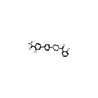 CN(C)C(=O)c1ccc(-c2ccc(N3CCN(C(=O)c4ccccc4Cl)CC3)cc2)cc1Cl